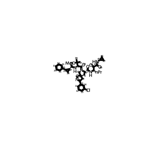 CCC[C@H](NC(=O)[C@@H]1C[C@]2(CC(c3cccc(Cl)c3)=NO2)CN1C(=O)[C@@H](NC(=O)[C@H]1CC1c1ccccc1)C(C)(C)OC)C(=O)C(=O)NC1CC1